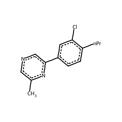 CCCc1ccc(-c2cncc(C)n2)cc1Cl